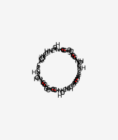 O=C1CNCCCN2CCN(CCCNCC(=O)Nc3ccc(cc3)S(=O)(=O)c3ccc(cc3)NC(=O)CNCCCN3CCN(CCCNCC(=O)Nc4ccc(cc4)S(=O)(=O)c4ccc(cc4)N1)CC3)CC2